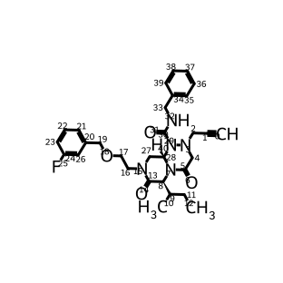 C#CCN1CC(=O)N2[C@@H](C(C)CC)C(=O)N(CCOCc3cccc(F)c3)C[C@@H]2N1C(=O)NCc1ccccc1